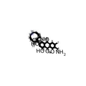 COc1c(CN)c(C)cc2c1C(=O)c1c(O)cc3c(c1C2=O)N[C@H]1C#C/C=C\C#C[C@H](C)[C@@]32O[C@@]12[C@@H](C)O